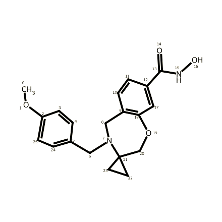 COc1ccc(CN2Cc3ccc(C(=O)NO)cc3OCC23CC3)cc1